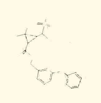 CC1(C)C(C(=O)OCc2cccc(Oc3ccccc3)c2)C1C(O)S(=O)(=O)[O-].[Na+]